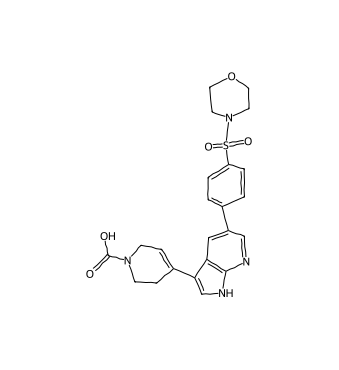 O=C(O)N1CC=C(c2c[nH]c3ncc(-c4ccc(S(=O)(=O)N5CCOCC5)cc4)cc23)CC1